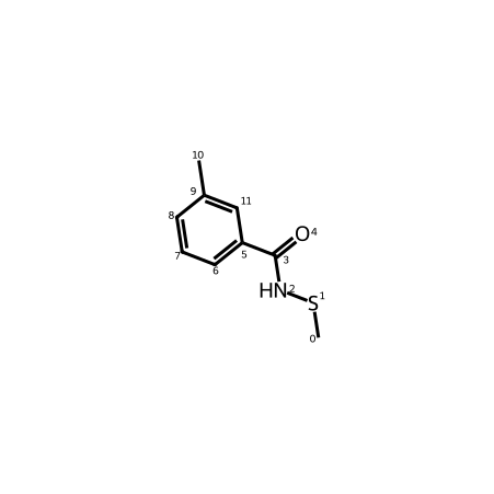 CSNC(=O)c1cccc(C)c1